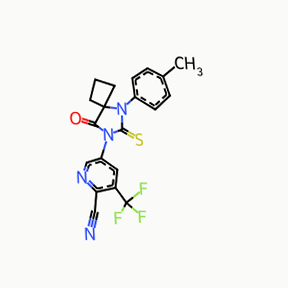 Cc1ccc(N2C(=S)N(c3cnc(C#N)c(C(F)(F)F)c3)C(=O)C23CCC3)cc1